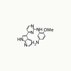 COc1ccc(N)cc1Nc1nccc(-c2c[nH]c3ncccc23)n1